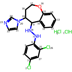 Cl.Cl.Clc1ccc(NNC2c3ccccc3OCCC2n2ccnc2)c(Cl)c1